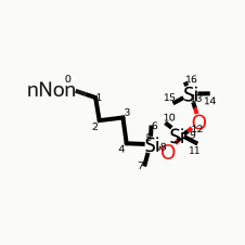 CCCCCCCCCCCCC[Si](C)(C)O[Si](C)(C)O[Si](C)(C)C